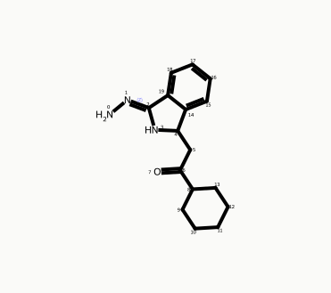 N/N=C1\NC(CC(=O)C2CCCCC2)c2ccccc21